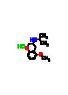 COc1cccc2c1CC(NC(C)C)CO2.Cl